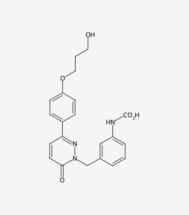 O=C(O)Nc1cccc(Cn2nc(-c3ccc(OCCCO)cc3)ccc2=O)c1